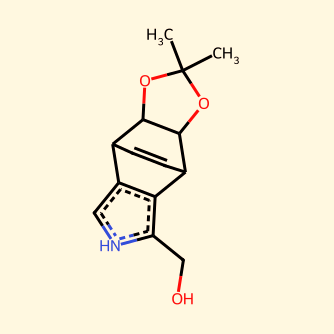 CC1(C)OC2C3C=CC(c4c3c[nH]c4CO)C2O1